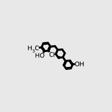 Cc1ccc(CC2CCC(c3cccc(O)c3)CC2)c(C)c1O